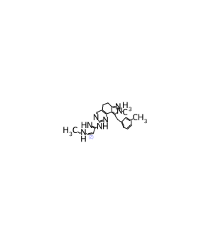 CCN/C=C\C(=N)Nc1ncc2c(n1)-c1c(nn(C)c1Cc1cccc(C)c1)CC2